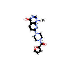 CCCn1cnc(=O)c2ccc(N3CCN(C(=O)c4ccco4)CC3)nc21